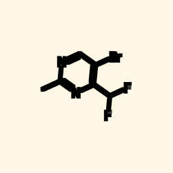 Cc1ncc(Br)c(C(F)F)n1